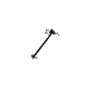 CO[Si](CCCCCCCCCCCCCCCCCCCCCCCCCCCCCC(=O)O)(OC)OC